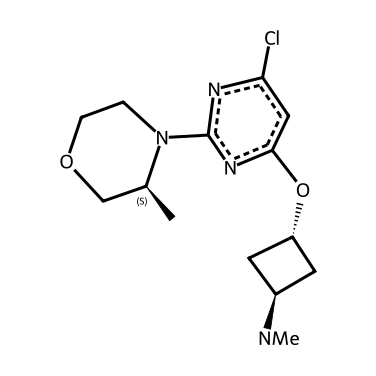 CN[C@H]1C[C@H](Oc2cc(Cl)nc(N3CCOC[C@@H]3C)n2)C1